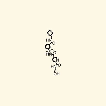 O=C(NCc1ccccc1)c1cccc(S(=O)(=O)NC(=O)c2ccc(C(=O)NCCO)nc2)c1